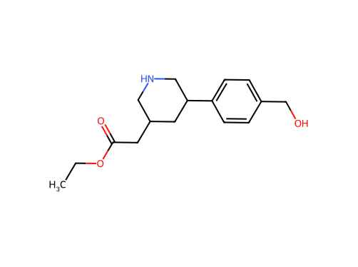 CCOC(=O)CC1CNCC(c2ccc(CO)cc2)C1